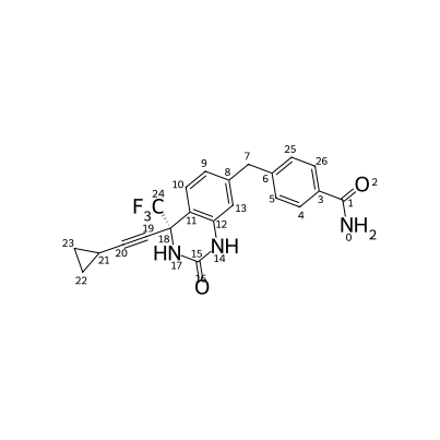 NC(=O)c1ccc(Cc2ccc3c(c2)NC(=O)N[C@]3(C#CC2CC2)C(F)(F)F)cc1